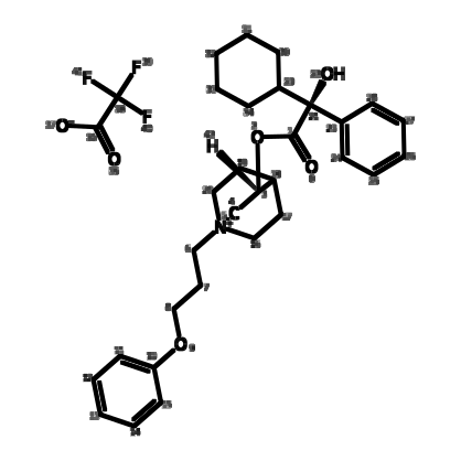 O=C(O[C@H]1C[N+]2(CCCOc3ccccc3)CCC1CC2)[C@@](O)(c1ccccc1)C1CCCCC1.O=C([O-])C(F)(F)F